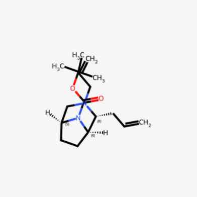 C=CC[C@@H]1[C@H]2CC[C@@H](CN1CC=C)N2C(=O)OC(C)(C)C